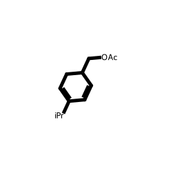 CC(=O)OCC1C=CC(C(C)C)=CC1